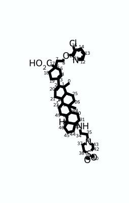 CC1C(C2=CCC(CCOc3ncccc3Cl)(C(=O)O)CC2)=CC[C@@]2(C)C1CCC1(C)C3CCC4(NCCN5CCS(=O)(=O)CC5)CCC[C@@H]4C3CCC12